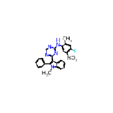 Cc1cc(F)c([N+](=O)[O-])cc1Nc1ncnc(-c2c(-c3ccccc3)n(C)c3ccccc23)n1